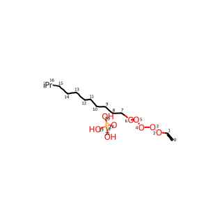 C=COOOOOCCCCCCCCCC(C)C.O=P(O)(O)O